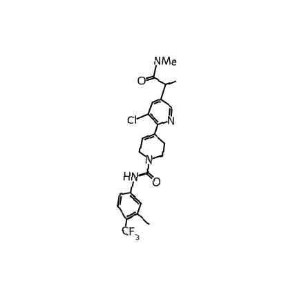 CNC(=O)C(C)c1cnc(C2=CCN(C(=O)Nc3ccc(C(F)(F)F)c(C)c3)CC2)c(Cl)c1